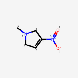 CN1[CH]C=C([N+](=O)[O-])C1